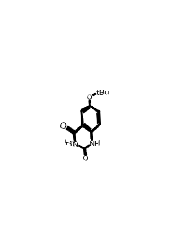 CC(C)(C)Oc1ccc2[nH]c(=O)[nH]c(=O)c2c1